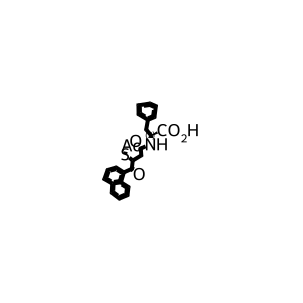 CC(=O)SC(CC(=O)N[C@@H](Cc1ccccc1)C(=O)O)C(=O)c1cccc2ccccc12